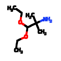 CCOC(OCC)C(C)(C)N